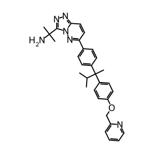 CC(C)C(C)(c1ccc(OCc2ccccn2)cc1)c1ccc(-c2ccc3nnc(C(C)(C)N)n3n2)cc1